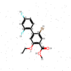 CCOc1cc(-c2ccc(F)cc2F)c(Br)cc1C(=O)OC